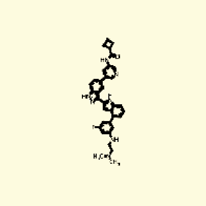 CN(C)CCNc1cc(F)cc(-c2cccc3[nH]c(-c4n[nH]c5ccc(-c6cncc(NC(=O)C7CCC7)c6)cc45)cc23)c1